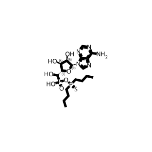 CCCCP(=S)(CCCC)OP(=O)(O)C(O)[C@H]1O[C@@H](n2cnc3c(N)ncnc32)[C@H](O)[C@@H]1O